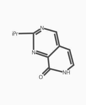 CC(C)c1ncc2cc[nH]c(=O)c2n1